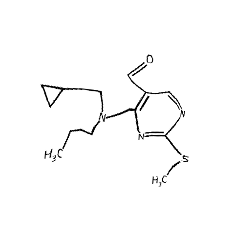 CCCN(CC1CC1)c1nc(SC)ncc1C=O